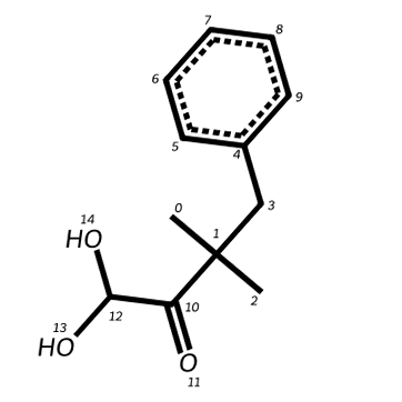 CC(C)(Cc1ccccc1)C(=O)C(O)O